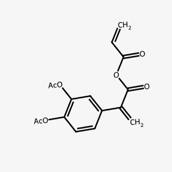 C=CC(=O)OC(=O)C(=C)c1ccc(OC(C)=O)c(OC(C)=O)c1